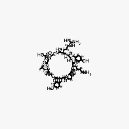 CC(C)C[C@H]1NC(=O)[C@H](CC(=O)O)NC(=O)CNC(=O)[C@@H](CCCNC(=N)N)NC(=O)[C@H](Cc2ccc(O)cc2)NC(=O)[C@@H](CCCCN)N(C)C(=O)[C@H]2CCCN2C(=O)[C@@H](Cc2ccc(O)cc2)NC(=O)CNC1=O